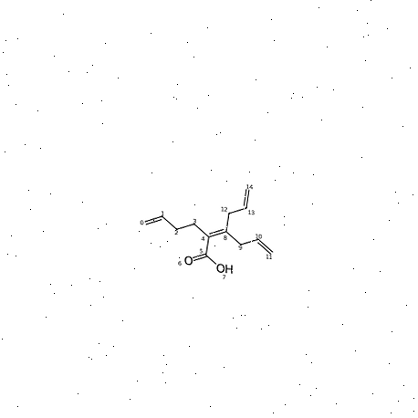 C=CCCC(C(=O)O)=C(CC=C)CC=C